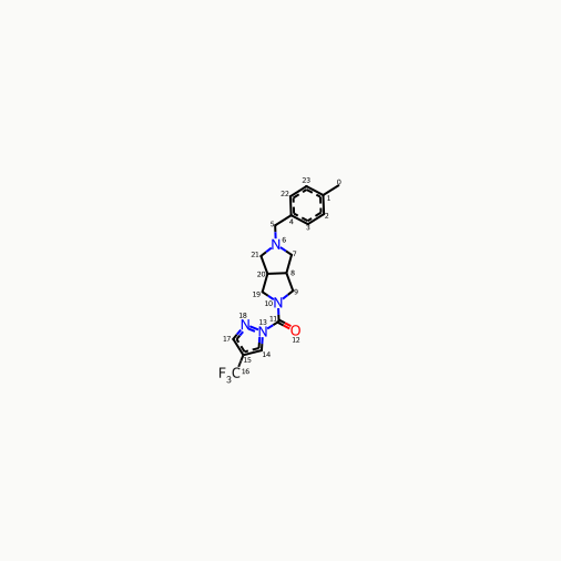 Cc1ccc(CN2CC3CN(C(=O)n4cc(C(F)(F)F)cn4)CC3C2)cc1